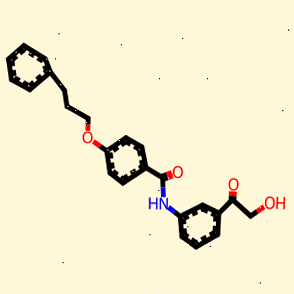 O=C(CO)c1cccc(NC(=O)c2ccc(OCCCc3ccccc3)cc2)c1